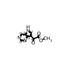 COC(=O)C(=O)c1c[nH]c2cncnc12